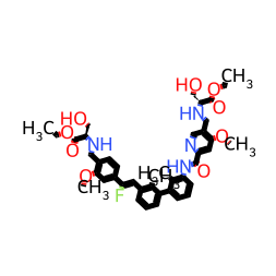 CCOC(=O)[C@@H](CO)NCc1ccc(/C(F)=C/c2cccc(-c3cccc(NC(=O)c4cc(OC)c(CN[C@H](CO)C(=O)OCC)cn4)c3C)c2C)cc1OC